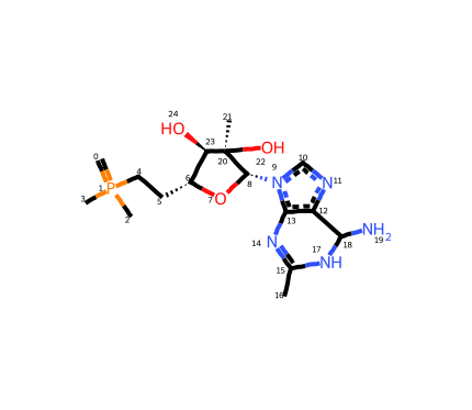 C=P(C)(C)CC[C@H]1O[C@@H](n2cnc3c2N=C(C)NC3N)[C@](C)(O)[C@@H]1O